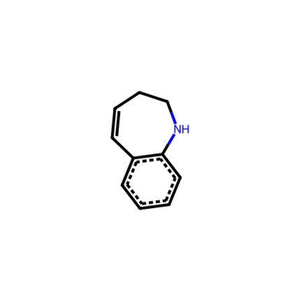 C1=Cc2ccccc2NCC1